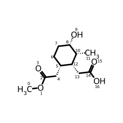 COC(=O)C[C@@H]1CC[C@H](O)[C@H](C)[C@@H]1CC(=O)O